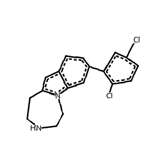 Clc1ccc(Cl)c(-c2ccc3cc4n(c3c2)CCNCC4)c1